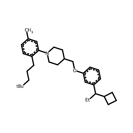 CCC(c1cccc(OCC2CCN(c3cc(C)ccc3CCCC(C)(C)C)CC2)c1)C1CCC1